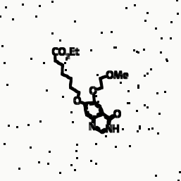 CCOC(=O)CCCCCCOc1cc2nc[nH]c(=O)c2cc1OCCOC